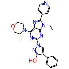 CCn1c(-c2ccncc2)nc2c(N3CCOC[C@H]3C)nc(-n3cc(-c4ccccc4)c(O)n3)nc21